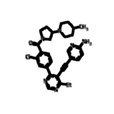 CCc1ncnc(-c2ccc(C(=O)N3CCC(N4CCC(C)CC4)C3)c(Cl)c2)c1C#Cc1ccc(N)nc1